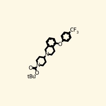 CC(C)(C)OC(=O)N1CCC(N2CCc3c(cccc3Oc3ccc(C(F)(F)F)cc3)C2)CC1